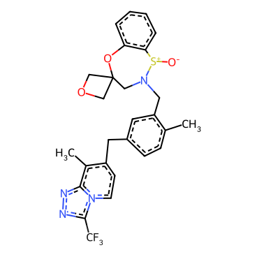 Cc1ccc(Cc2ccn3c(C(F)(F)F)nnc3c2C)cc1CN1CC2(COC2)Oc2ccccc2[S+]1[O-]